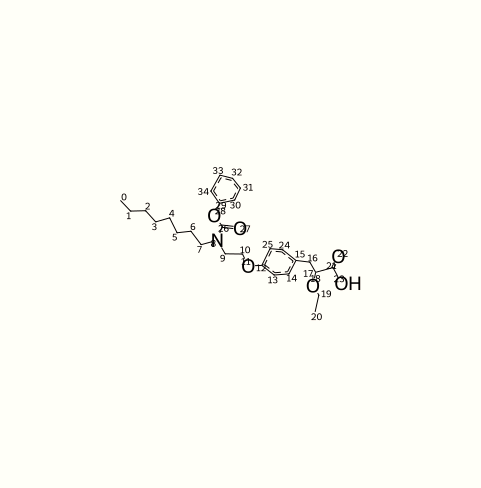 CCCCCCCCN(CCOc1ccc(CC(OCC)C(=O)O)cc1)C(=O)Oc1ccccc1